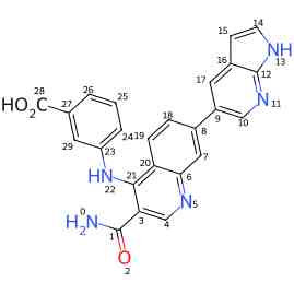 NC(=O)c1cnc2cc(-c3cnc4[nH]ccc4c3)ccc2c1Nc1cccc(C(=O)O)c1